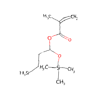 C=C(C)C(=O)OC(CC[SiH3])O[Si](C)(C)C